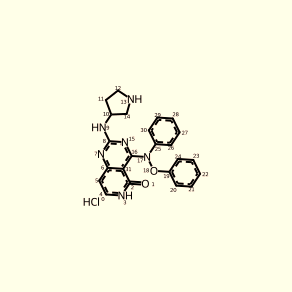 Cl.O=c1[nH]ccc2nc(NC3CCNC3)nc(N(Oc3ccccc3)c3ccccc3)c12